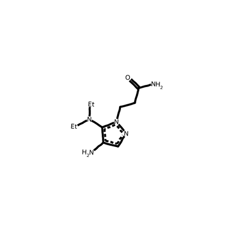 CCN(CC)c1c(N)cnn1CCC(N)=O